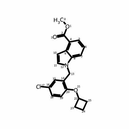 COC(=O)c1cccc2c1ccn2Cc1cc(Cl)ccc1OC1CCC1